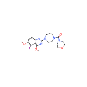 COc1ccc2nc(N3CCCN(C(=O)N4CCOCC4)CC3)nc(OC)c2c1I